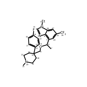 CCn1cnc2c(C(C)OCC3(c4ccc(F)cc4)CCN(C)CC3)cc(C(F)(F)F)cc21